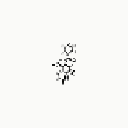 Cc1ccc2c(O)c(NC(=O)c3ccccc3)cc(Cl)c2n1